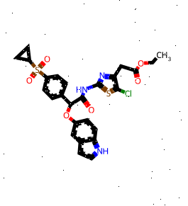 CCOC(=O)Cc1nc(NC(=O)C(Oc2ccc3[nH]ccc3c2)c2ccc(S(=O)(=O)C3CC3)cc2)sc1Cl